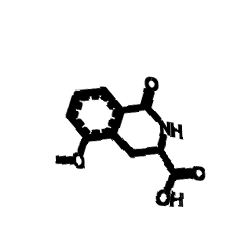 COc1cccc2c1CC(C(=O)O)NC2=O